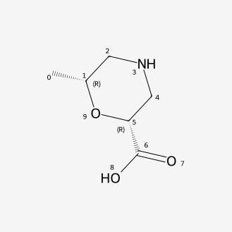 C[C@@H]1CNC[C@H](C(=O)O)O1